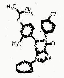 Cc1cc(OC(C)C)ccc1-c1nc2c(ncn2-c2ccccc2)c(=O)n1-c1ccc(Cl)cc1